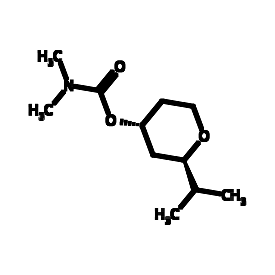 CC(C)[C@H]1C[C@H](OC(=O)N(C)C)CCO1